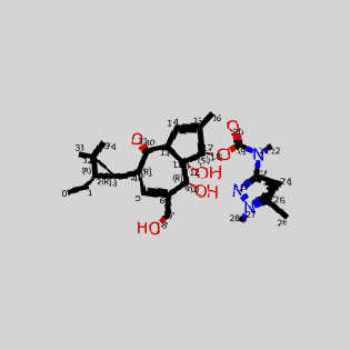 CC[C@@H]1[C@H]([C@@H]2C=C(CO)[C@@H](O)[C@@]3(O)C(C=C(C)[C@@H]3OC(=O)N(C)c3cc(C)n(C)n3)C2=O)C1(C)C